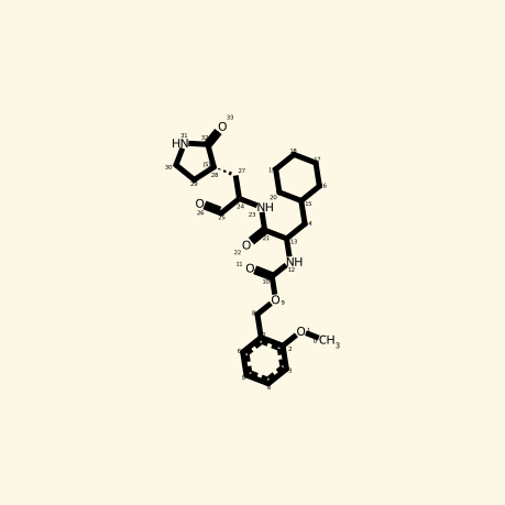 COc1ccccc1COC(=O)NC(CC1CCCCC1)C(=O)NC(C=O)C[C@@H]1CCNC1=O